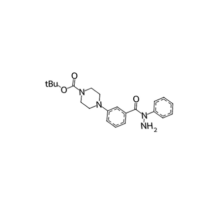 CC(C)(C)OC(=O)N1CCN(c2cccc(C(=O)N(N)c3ccccc3)c2)CC1